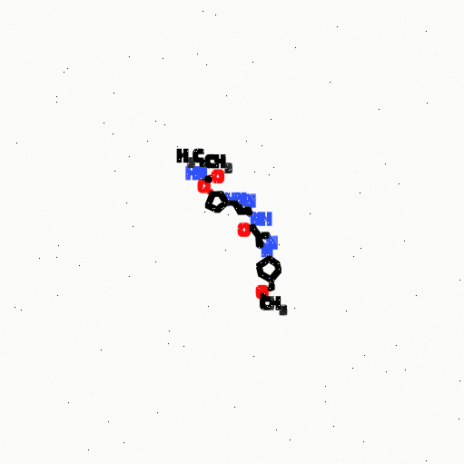 COC[C@H]1CC[C@H](n2cc(C(=O)Nc3cc([C@H]4CC[C@@H](OC(=O)NC(C)C)C4)[nH]n3)cn2)CC1